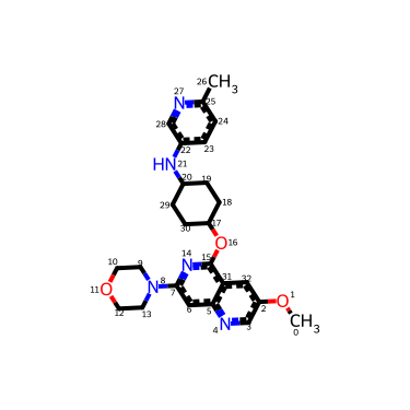 COc1cnc2cc(N3CCOCC3)nc(OC3CCC(Nc4ccc(C)nc4)CC3)c2c1